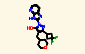 Oc1c(CC2CCOCC2)c(C2CC(F)(F)C2)nn1-c1nc2cccnc2[nH]1